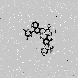 Cc1cc(C)nc(-c2ccc(C[C@H](NC(=O)c3c(F)cc(N4CCOC[C@@H]4C(F)(F)F)cc3F)C(=O)O)c3cccnc23)n1